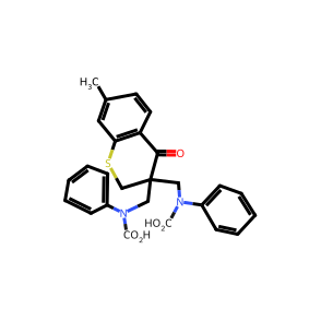 Cc1ccc2c(c1)SCC(CN(C(=O)O)c1ccccc1)(CN(C(=O)O)c1ccccc1)C2=O